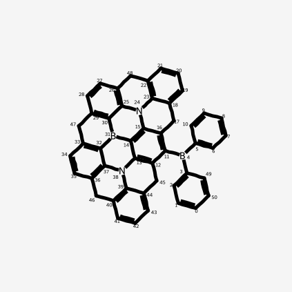 c1ccc(B(c2ccccc2)c2c3c4c5c6c2Cc2cccc7c2N6c2c(ccc6c2B5c2c(ccc5c2N4c2c(cccc2C3)C5)C6)C7)cc1